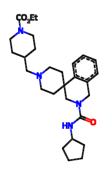 CCOC(=O)N1CCC(CN2CCC3(CC2)CN(C(=O)NC2CCCC2)Cc2ccccc23)CC1